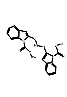 CC(C)(C)OC(=O)n1c(OBOc2cc3ccccc3n2C(=O)OC(C)(C)C)cc2ccccc21